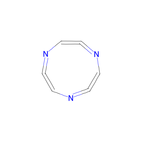 C1=CN=C=CN=C=CN=1